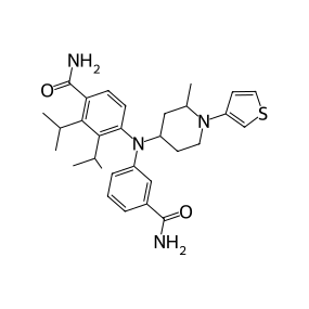 CC(C)c1c(C(N)=O)ccc(N(c2cccc(C(N)=O)c2)C2CCN(c3ccsc3)C(C)C2)c1C(C)C